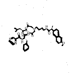 COc1ccc2cc([C@H](C)C(=O)NCCCCN3CC(=O)OB([C@H](CC(C)C)NC(=O)[C@H](Cc4ccccc4)NC(=O)c4cnccn4)OC(=O)C3)ccc2c1